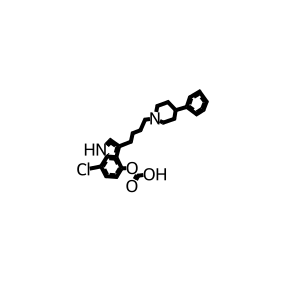 O=C(O)Oc1ccc(Cl)c2[nH]cc(CCCCN3CCC(c4ccccc4)CC3)c12